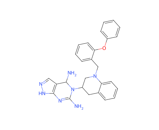 NC1=Nc2[nH]ncc2C(N)N1C1Cc2ccccc2N(Cc2ccccc2Oc2ccccc2)C1